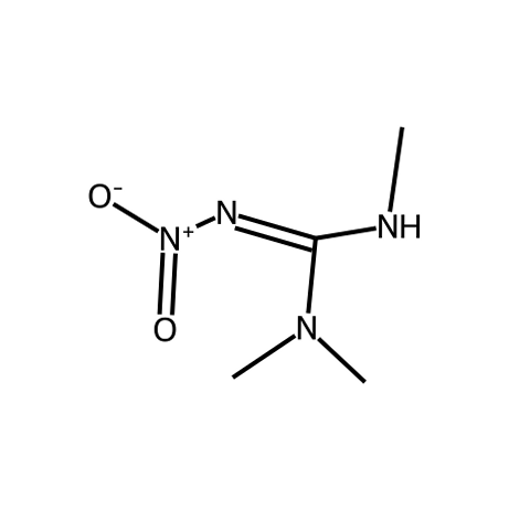 CNC(=N[N+](=O)[O-])N(C)C